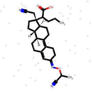 CCCC(C(=O)O)[C@@]1(CC#N)CC[C@H]2[C@@H]3CCC4=C/C(=N/OC(C)C#N)CCC4=C3CC[C@@]21C